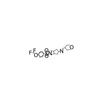 CN(CC1CCOCC1)C1CC2CN(S(=O)(=O)c3ccc(OC(F)F)cc3)CC2C1